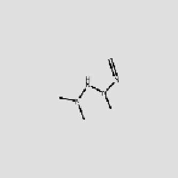 C=NN(C)NN(C)C